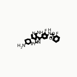 CC(C)n1nc(-c2ccc(NS(=O)(=O)c3ccccc3F)c(F)c2)c2c(N)ncc([C@H]3CC[C@H](N)CC3)c21